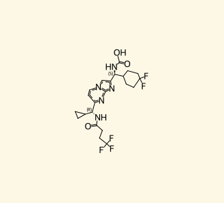 O=C(O)N[C@H](c1cn2ccc([C@H](NC(=O)CCC(F)(F)F)C3CC3)nc2n1)C1CCC(F)(F)CC1